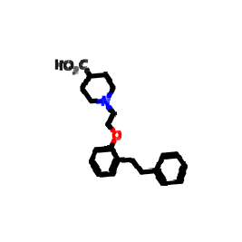 O=C(O)C1CCN(CCOc2ccccc2CCc2ccccc2)CC1